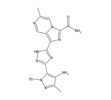 CCn1nc(C)c(N)c1-c1n[nH]c(-c2nc(C(N)=O)n3cc(C)ncc23)n1